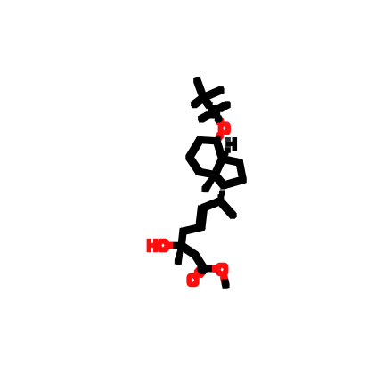 COC(=O)C[C@](C)(O)C/C=C/C(C)[C@H]1CC[C@@H]2[C@H](O[Si](C)(C)C(C)(C)C)CCC[C@@]12C